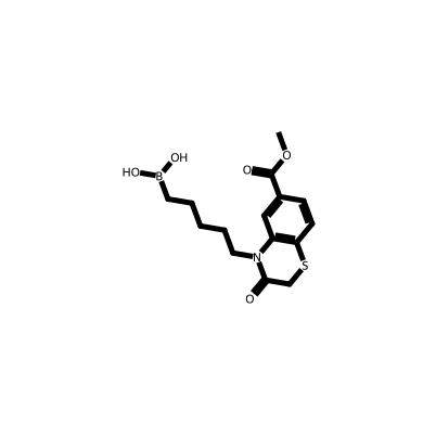 COC(=O)c1ccc2c(c1)N(CCCCCB(O)O)C(=O)CS2